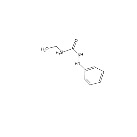 CC[SiH2]C(=O)NNc1ccccc1